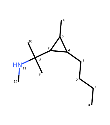 CCCCC1C(C)C1C(C)(C)NC